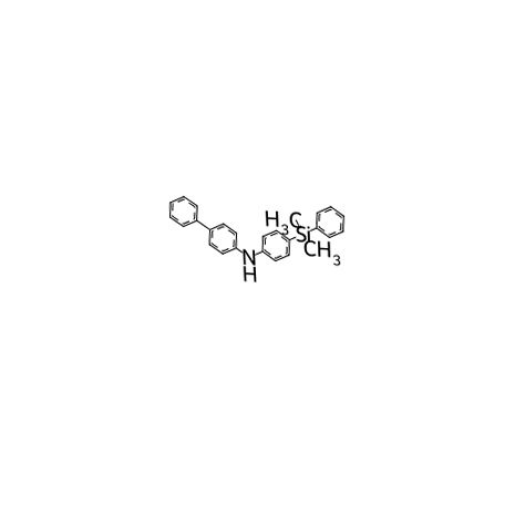 C[Si](C)(c1ccccc1)c1ccc(Nc2ccc(-c3ccccc3)cc2)cc1